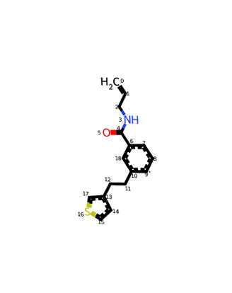 C=CCNC(=O)c1cc[c]c(CCc2ccsc2)c1